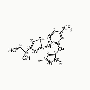 Cc1cc(Oc2cc(C(F)(F)F)cnc2Nc2nc(C(O)CO)cs2)n(C)n1